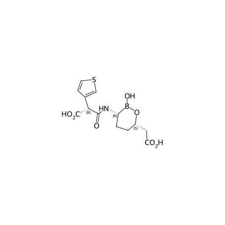 O=C(O)C[C@@H]1CC[C@H](NC(=O)[C@H](C(=O)O)c2ccsc2)B(O)O1